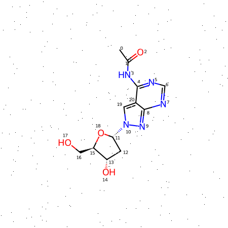 CC(=O)Nc1ncnc2nn([C@@H]3C[C@H](O)[C@@H](CO)O3)cc12